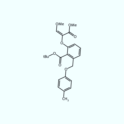 CO/C=C(/Oc1cccc(COc2ccc(C)cc2)c1C(=O)OC(C)(C)C)C(=O)OC